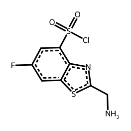 NCc1nc2c(S(=O)(=O)Cl)cc(F)cc2s1